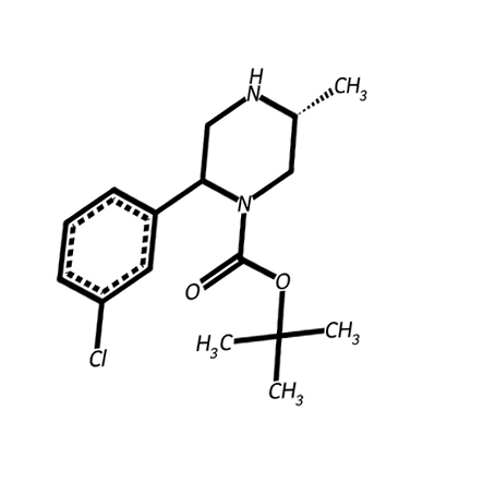 C[C@@H]1CN(C(=O)OC(C)(C)C)C(c2cccc(Cl)c2)CN1